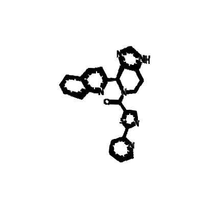 O=C(c1cnc(-c2ccccn2)s1)N1CCc2[nH]cnc2[C@@H]1c1ccc2ccccc2n1